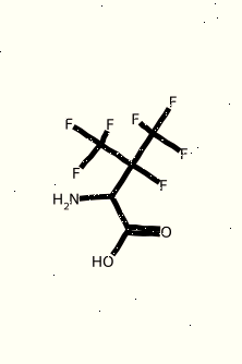 NC(C(=O)O)C(F)(C(F)(F)F)C(F)(F)F